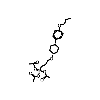 CCCOc1ccc([C@H]2CC[C@H](OCCC[Si](OC(C)=O)(OC(C)=O)OC(C)=O)CC2)cc1